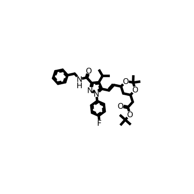 CC(C)c1c(C(=O)NCc2ccccc2)nn(-c2ccc(F)cc2)c1C=CC1CC(CC(=O)OC(C)(C)C)OC(C)(C)O1